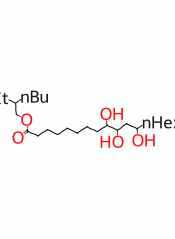 CCCCCCC(O)CC(O)C(O)CCCCCCCC(=O)OCC(CC)CCCC